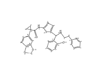 O=C(Nc1ncc(C(NCCc2ccccn2)c2ccccc2Cl)s1)C1(c2ccc3c(c2)OCO3)CC1